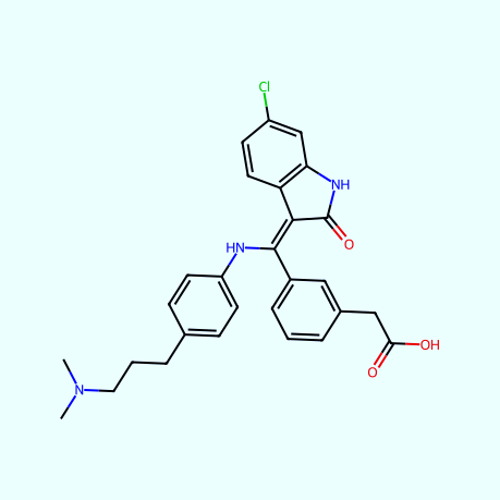 CN(C)CCCc1ccc(NC(=C2C(=O)Nc3cc(Cl)ccc32)c2cccc(CC(=O)O)c2)cc1